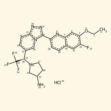 CCOc1cc2nc(-c3nnc4ccc([C@@H](N5CCC(N)C5)C(F)(F)F)cn34)ccc2cc1F.Cl